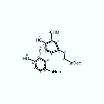 CCCCCCCCCCCCc1ccc(O)c(C=O)c1.CCCCCCCCCc1ccc(O)c(C=O)c1